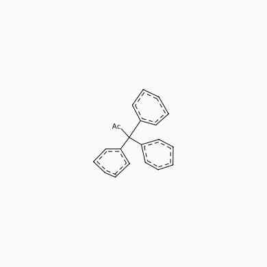 CC(=O)C(c1ccccc1)(c1ccccc1)c1ccccc1